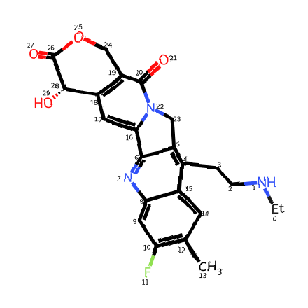 CCNCCc1c2c(nc3cc(F)c(C)cc13)-c1cc3c(c(=O)n1C2)COC(=O)[C@H]3O